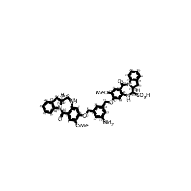 COc1cc2c(cc1OCc1cc(N)cc(COc3cc4c(cc3OC)C(=O)N3c5ccccc5C[C@H]3C(S(=O)(=O)O)N4)c1)NC[C@@H]1Cc3ccccc3N1C2=O